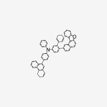 C1=CC(c2cc(N(c3ccccc3)c3ccc(-c4cc5c(c6ccccc46)CCC=C5)cc3)ccc2-c2ccc3ccc4oc5ccccc5c4c3c2)=CCC1